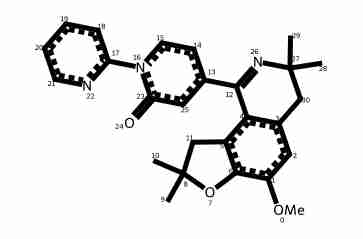 COc1cc2c(c3c1OC(C)(C)C3)C(c1ccn(-c3ccccn3)c(=O)c1)=NC(C)(C)C2